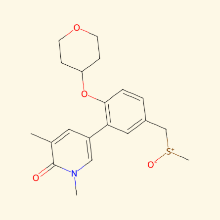 Cc1cc(-c2cc(C[S+](C)[O-])ccc2OC2CCOCC2)cn(C)c1=O